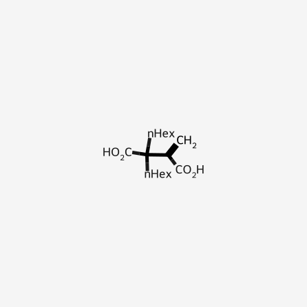 C=C(C(=O)O)C(CCCCCC)(CCCCCC)C(=O)O